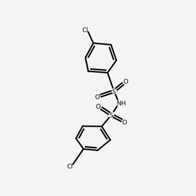 O=S(=O)(NS(=O)(=O)c1ccc(Cl)cc1)c1ccc(Cl)cc1